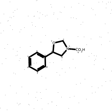 O=C(O)N1COC(c2ccccc2)C1